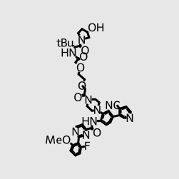 COc1cccc(F)c1-c1nccc(C(=O)Nc2ccc(-c3cnccc3C#N)cc2N2CCN(C(=O)COCCOCC(=O)N[C@H](C(=O)N3CC[C@@H](O)C3)C(C)(C)C)CC2)n1